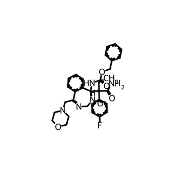 CCC(C(N)=O)(c1ccc(F)cc1)C1(NC(=O)OCc2ccccc2)c2ccccc2C(CN2CCOCC2)=NC[NH+]1[O-]